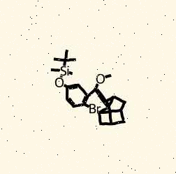 CO/C(=C1\C2CC3CC4CC1C34C2)c1cc(O[Si](C)(C)C(C)(C)C)ccc1Br